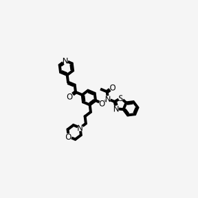 CC(=O)N(Oc1ccc(C(=O)/C=C/c2ccncc2)cc1CCCN1CCOCC1)c1nc2ccccc2s1